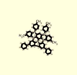 Cc1ccc(N2c3ccc(C)cc3B3c4c2cc2c5c4-n4c6c3cc(-c3ccccc3)cc6c3cc(-c6ccccc6)cc(c34)B5c3cc(C)ccc3N2c2ccc(C)cc2)cc1